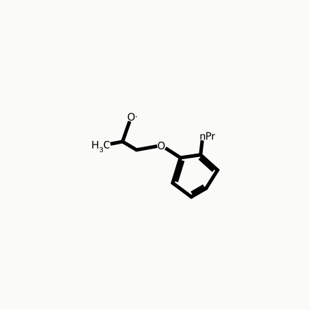 CCCc1ccccc1OCC(C)[O]